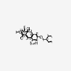 CCC(CC)COc1ccc2c(c1)OC(Cl)(C(F)(F)F)C(C(=O)O)=C2.[NaH]